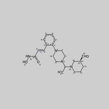 CC(N1CCN(c2ccccc2/C=C/C(=O)NO)CC1)N1CCC[C@H](C=O)C1